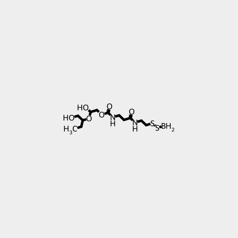 BSSCCNC(=O)CCNC(=O)OCC(O)OC(CC)CO